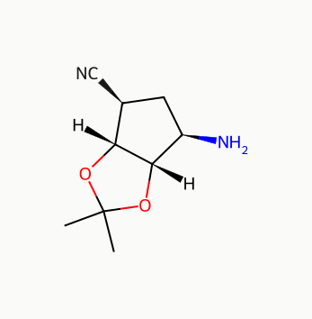 CC1(C)O[C@@H]2[C@H](O1)[C@@H](C#N)C[C@H]2N